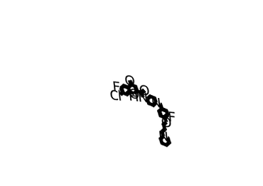 O=C(NC1CCN(Cc2ccc(OCCCN3CCCCC3)c(F)c2)CC1)c1cc(=O)c2cc(F)c(Cl)cc2o1